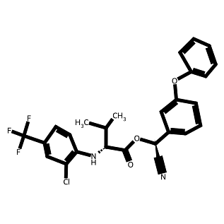 CC(C)[C@@H](Nc1ccc(C(F)(F)F)cc1Cl)C(=O)O[C@H](C#N)c1cccc(Oc2ccccc2)c1